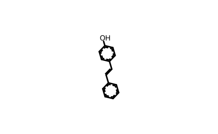 Oc1ccc(/C=C/c2ccccc2)cc1